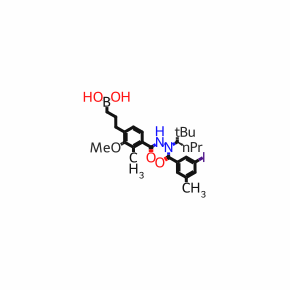 CCC[C@@H](N(NC(=O)c1ccc(CCCB(O)O)c(OC)c1C)C(=O)c1cc(C)cc(I)c1)C(C)(C)C